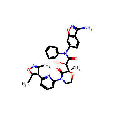 Cc1noc(C)c1-c1cccc(N2CCO[C@](C)([C@@H](O)C(=O)N(c3ccccc3)c3ccc4c(N)noc4c3)C2=O)n1